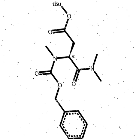 CN(C)C(=O)[C@H](CC(=O)OC(C)(C)C)N(C)C(=O)OCc1ccccc1